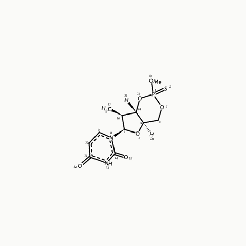 COP1(=S)OC[C@H]2O[C@@H](n3ccc(=O)[nH]c3=O)[C@@H](C)[C@@H]2O1